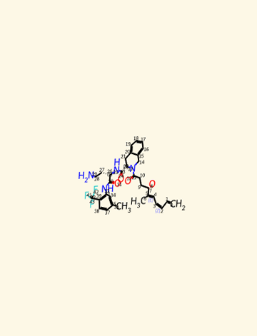 C=C/C=C\C=C(/C)C(=O)CCC(=O)N1Cc2ccccc2C[C@H]1C(=O)N[C@@H](CCN)C(=O)Nc1cc(C)ccc1C(F)(F)F